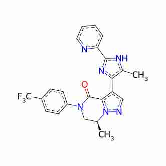 Cc1[nH]c(-c2ccccn2)nc1-c1cnn2c1C(=O)N(c1ccc(C(F)(F)F)cc1)C[C@@H]2C